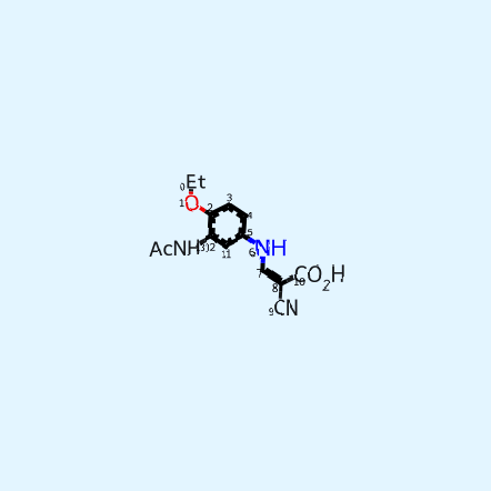 CCOc1ccc(N/C=C(/C#N)C(=O)O)cc1NC(C)=O